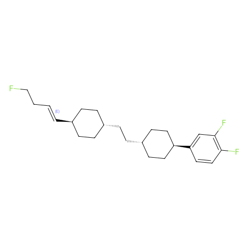 FCC/C=C/[C@H]1CC[C@H](CC[C@H]2CC[C@H](c3ccc(F)c(F)c3)CC2)CC1